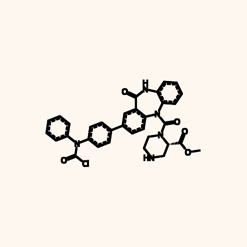 COC(=O)[C@@H]1CNCCN1C(=O)N1c2ccccc2NC(=O)c2cc(-c3ccc(N(C(=O)Cl)c4ccccc4)cc3)ccc21